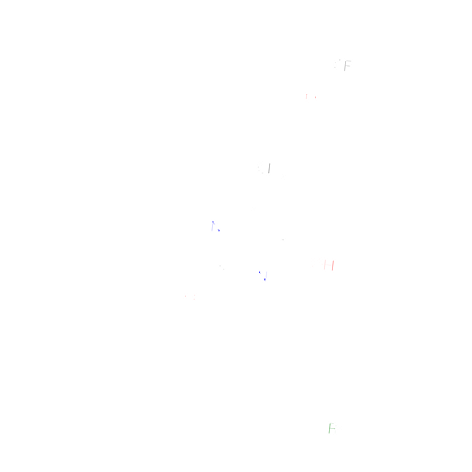 CC1N(c2ccccc2)C(=O)N(c2ccc(Br)cc2)C1(O)c1cccc(OC(F)(F)F)c1